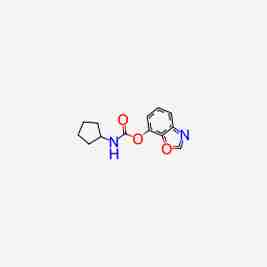 O=C(NC1CCCC1)Oc1cccc2ncoc12